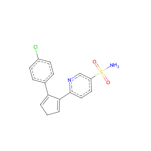 NS(=O)(=O)c1ccc(C2=CCC=C2c2ccc(Cl)cc2)nc1